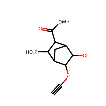 C#COC1C(O)C2CC1C(C(=O)O)C2C(=O)OC